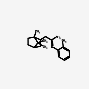 Cc1ccccc1N=C(N)CC1CC2CCC1(C)C2(C)C